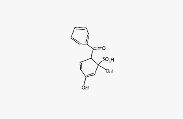 O=C(c1ccccc1)C1C=CC(O)=CC1(O)S(=O)(=O)O